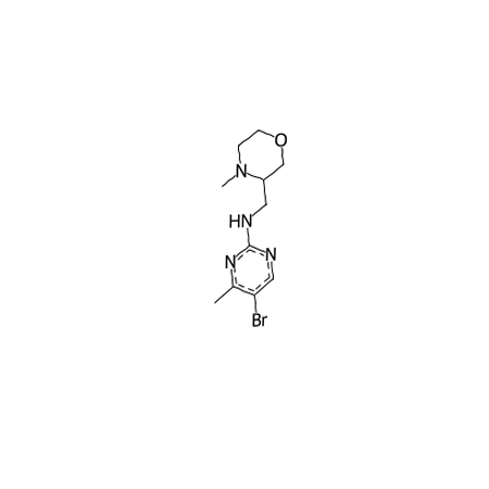 Cc1nc(NCC2COCCN2C)ncc1Br